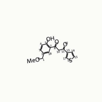 COCc1ccc(O)c(C(=O)CC(=O)c2ccsc2)c1